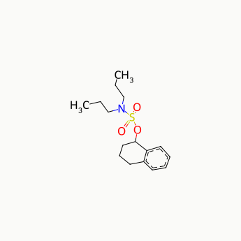 CCCN(CCC)S(=O)(=O)OC1CCCc2ccccc21